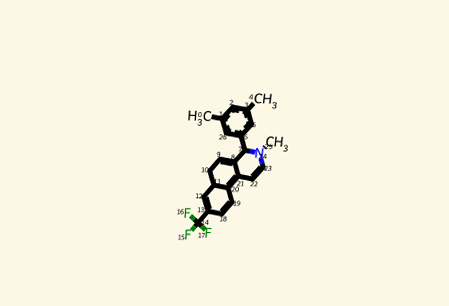 Cc1cc(C)cc(C2C3=CCC4C=C(C(F)(F)F)C=CC4=C3C=CN2C)c1